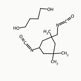 CC1(C)CC(N=C=O)CC(C)(CN=C=O)C1.OCCCCO